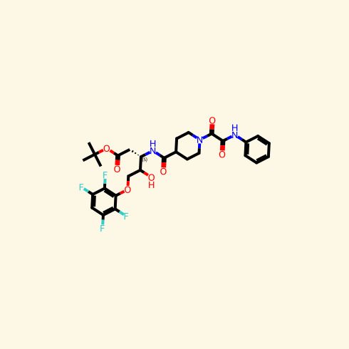 CC(C)(C)OC(=O)C[C@H](NC(=O)C1CCN(C(=O)C(=O)Nc2ccccc2)CC1)C(O)COc1c(F)c(F)cc(F)c1F